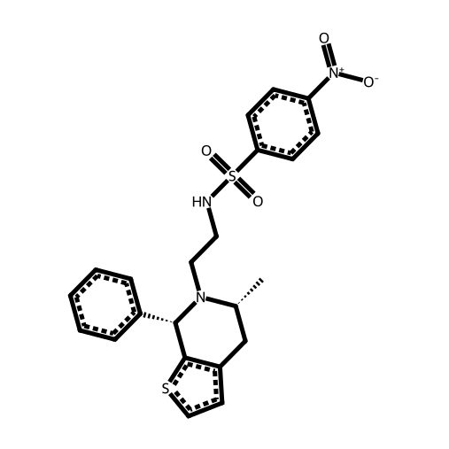 C[C@@H]1Cc2ccsc2[C@H](c2ccccc2)N1CCNS(=O)(=O)c1ccc([N+](=O)[O-])cc1